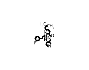 CC(C)=Cc1ccc(C(=O)NCc2cccnc2)c(NCCc2cccc(F)c2)n1